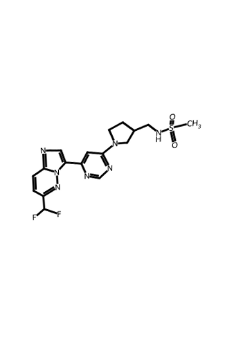 CS(=O)(=O)NCC1CCN(c2cc(-c3cnc4ccc(C(F)F)nn34)ncn2)C1